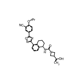 C=C(O)C1CN(C(=O)N[C@@H]2CCCc3c(-c4noc(-c5ccc(OC(C)C)c(C#N)c5)n4)cccc32)C1